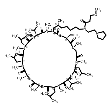 CC[C@@H]1NC(=O)[C@H]([C@H](O)[C@H](C)CCCCCN(CCN2CCCC2)C(=O)CCOC)N(C)C(=O)[C@H](C(C)C)N(C)C(=O)[C@H](CC(C)C)N(C)C(=O)[C@H](CC(C)C)N(C)C(=O)[C@@H](C)NC(=O)[C@H](C)NC(=O)[C@H](CC(C)C)N(C)C(=O)[C@H](C(C)C)NC(=O)[C@H](CC(C)C)N(C)C(=O)CN(C)C1=O